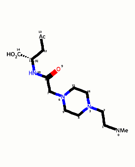 CNCCN1CCN(CC(=O)N[C@@H](CC(C)=O)C(=O)O)CC1